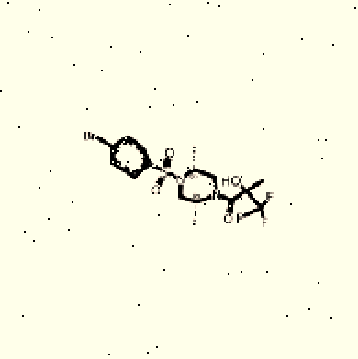 C[C@@H]1CN(S(=O)(=O)c2ccc(Br)cc2)[C@H](C)CN1C(=O)C(C)(O)C(F)(F)F